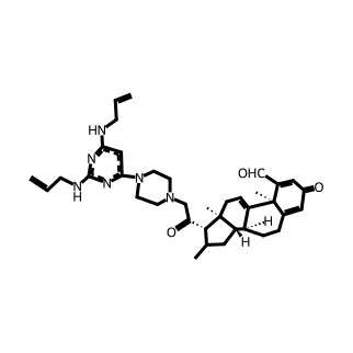 C=CCNc1cc(N2CCN(CC(=O)[C@H]3C(C)C[C@H]4[C@@H]5CCC6=CC(=O)C=C(C=O)[C@]6(C)C5=CC[C@]34C)CC2)nc(NCC=C)n1